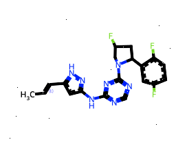 C/C=C/c1cc(Nc2ncnc(N3CC(F)CC3c3cc(F)ccc3F)n2)n[nH]1